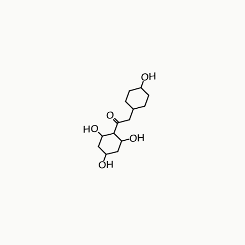 O=C(CC1CCC(O)CC1)C1C(O)CC(O)CC1O